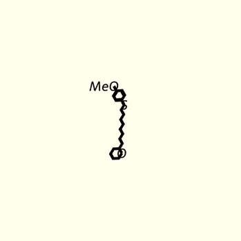 COc1ccc(SCCCCCCCCC2CCCCO2)cc1